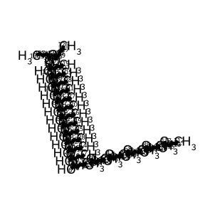 CCCCC(=O)O.CCCCC(=O)O.CCCCC(=O)O.CCCCC(=O)O.CCCCC(=O)O.CCCCC(=O)O.CCCCC(=O)O.CCCCC(=O)O.CCCCC(=O)O.CCCCC(=O)O.CCCCC(=O)O.CCCCC(=O)O.CCCCC(=O)O.CCCCC(=O)O.CCCCC(=O)O.CCCCC(=O)O.CCCCC(=O)O.CCCCC(=O)O.CCCCC(=O)OC(=O)CCCC